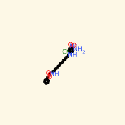 Nc1cc(NCCCCCCCCCCCCCNC(=O)OCc2ccccc2)c(Cl)cc1[N+](=O)[O-]